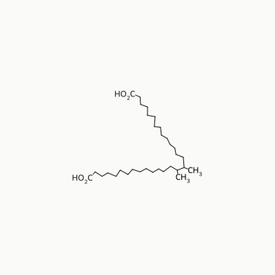 CC(CCCCCCCCCCCCCC(=O)O)C(C)CCCCCCCCCCCCCC(=O)O